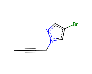 CC#CCn1cc(Br)[c]n1